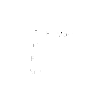 [F-].[F-].[F-].[F-].[Mg+2].[Sr+2]